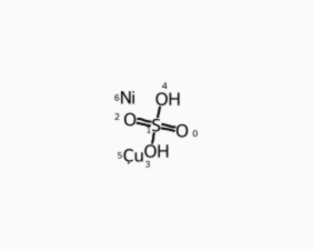 O=S(=O)(O)O.[Cu].[Ni]